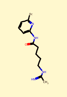 CC(=N)NCCCCC(=O)Nc1cccc(C(C)=O)n1